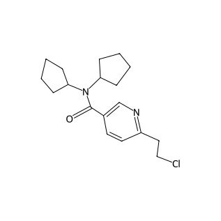 O=C(c1ccc(CCCl)nc1)N(C1CCCC1)C1CCCC1